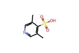 Cc1cncc(C)c1S(=O)(=O)O